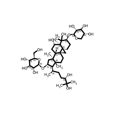 C[C@H](CC[C@H](O)C(C)(C)O)[C@H]1[C@@H](O[C@@H]2O[C@H](CO)[C@@H](O)[C@H](O)[C@H]2O)C[C@@]2(C)[C@@H]3C[C@H](O)[C@H]4C(C)(C)[C@@H](O[C@@H]5OC[C@@H](O)[C@H](O)[C@H]5O)CC[C@@]45C[C@@]35CC[C@]12C